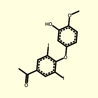 COc1ccc(Oc2c(I)cc(C(C)=O)cc2I)cc1O